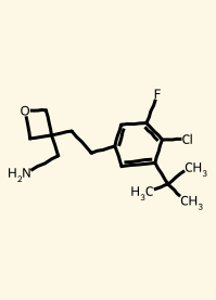 CC(C)(C)c1cc(CCC2(CN)COC2)cc(F)c1Cl